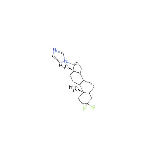 C[C@]12CCC(F)(F)CC1CCC1C2CC[C@]2(C)C(n3ccnc3)=CCC12